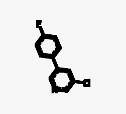 Fc1ccc(-c2cncc(Cl)c2)cc1